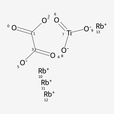 O=C([O-])C(=O)[O-].[O]=[Ti]([O-])[O-].[Rb+].[Rb+].[Rb+].[Rb+]